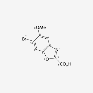 COc1cc2nc(C(=O)O)oc2cc1Br